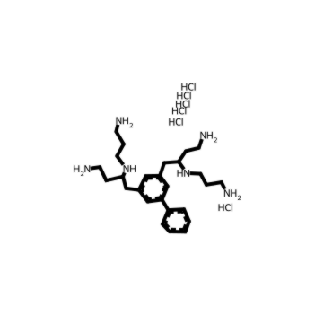 Cl.Cl.Cl.Cl.Cl.Cl.NCCCNC(CCN)Cc1cc(CC(CCN)NCCCN)cc(-c2ccccc2)c1